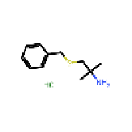 CC(C)(N)CSCc1ccccc1.Cl